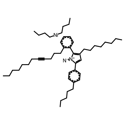 CCCCCCCC#CCCCc1ccccc1C1=C(CCCCCCCC)C=C(c2ccc(CCCCC)cc2)[N+]1=[N-].CCC[CH2][Ni][CH2]CCC